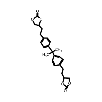 CC(C)(c1ccc(CCC2COC(=O)O2)cc1)c1ccc(CCC2COC(=O)O2)cc1